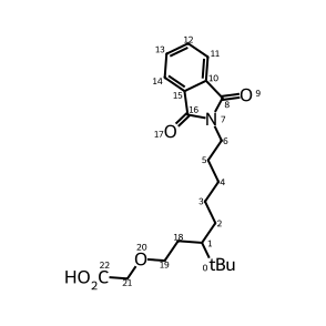 CC(C)(C)C(CCCCCN1C(=O)c2ccccc2C1=O)CCOCC(=O)O